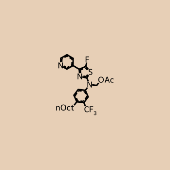 CCCCCCCCc1ccc(N(COC(C)=O)c2nc(-c3cccnc3)c(F)s2)cc1C(F)(F)F